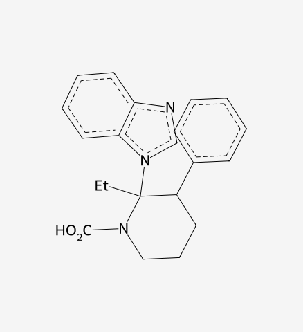 CCC1(n2cnc3ccccc32)C(c2ccccc2)CCCN1C(=O)O